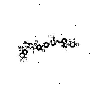 CCOc1cc(N2CCC(N3CCN(CCc4cccc5c4C(C)(C)C(=O)N5C4CCC(=O)NC4=O)C(CO)C3)CC2)c(CC)cc1Nc1ncc(Br)c(Nc2ccc3c(=O)n(CC)ncc3c2P(C)(C)=O)n1